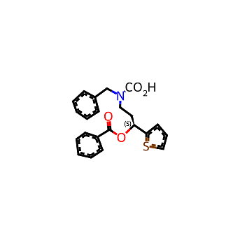 O=C(O[C@@H](CCN(Cc1ccccc1)C(=O)O)c1cccs1)c1ccccc1